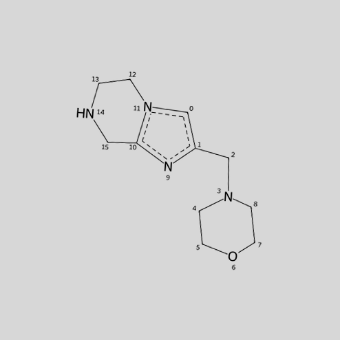 c1c(CN2CCOCC2)nc2n1CCNC2